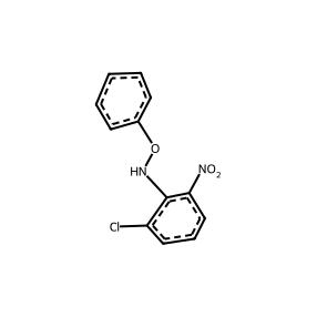 O=[N+]([O-])c1cccc(Cl)c1NOc1ccccc1